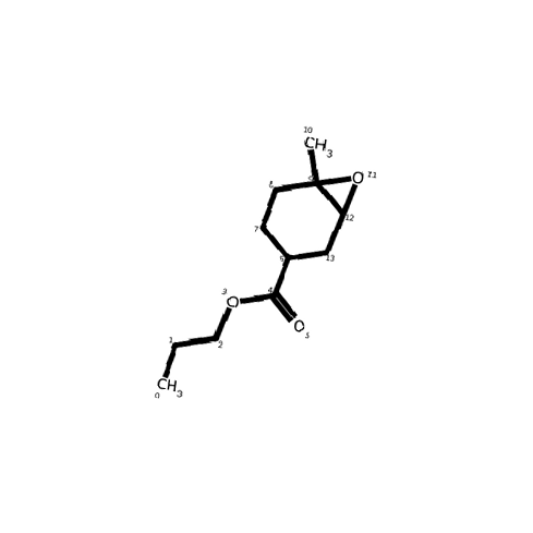 CCCOC(=O)C1CCC2(C)OC2C1